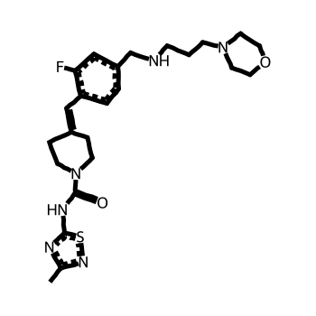 Cc1nsc(NC(=O)N2CCC(=Cc3ccc(CNCCCN4CCOCC4)cc3F)CC2)n1